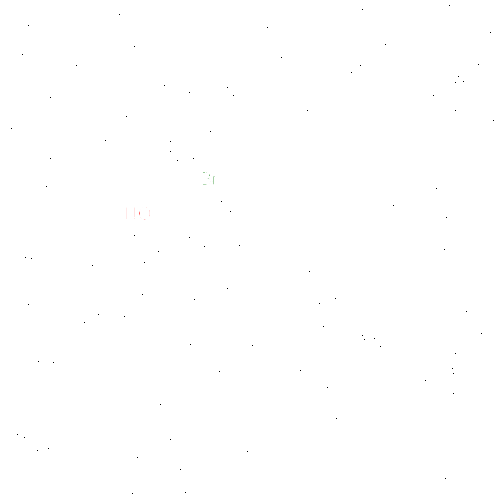 CCCCCCC(O)Br